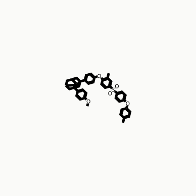 COc1ccc(C23CC4CC(C2)CC(c2ccc(Oc5ccc(S(=O)(=O)c6ccc(Oc7ccc(C)cc7)cc6)cc5C)cc2)(C4)C3)cc1